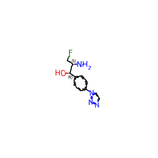 N[C@H](CF)[C@H](O)c1ccc(-n2ccnn2)cc1